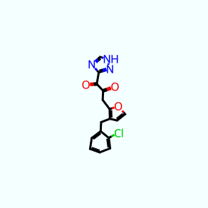 O=C(Cc1occc1Cc1ccccc1Cl)C(=O)c1nc[nH]n1